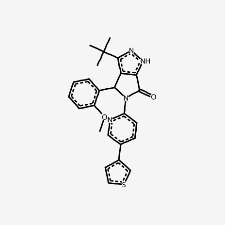 COc1ccccc1C1c2c(C(C)(C)C)n[nH]c2C(=O)N1c1ccc(-c2ccsc2)cn1